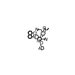 C=CC(=O)N1CCN(c2c(C#N)c(OCC3CCCN3C)nc3c2CCN(c2cccc4cccc(Cl)c24)C3)CC1CC#N